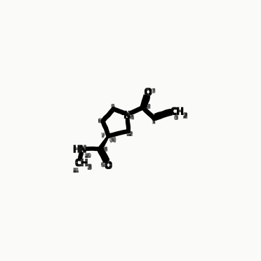 C=CC(=O)N1CC[C@H](C(=O)NC)C1